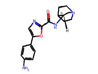 Nc1ccc(-c2cnc(C(=O)N[C@H]3CN4CCC3CC4)o2)cc1